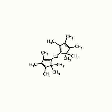 CC1=C(C)C(C)(C)[C]([Ca][C]2=C(C)C(C)=C(C)C2(C)C)=C1C